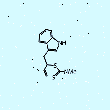 C=CC(Cc1c[nH]c2ccccc12)SC(=S)NC